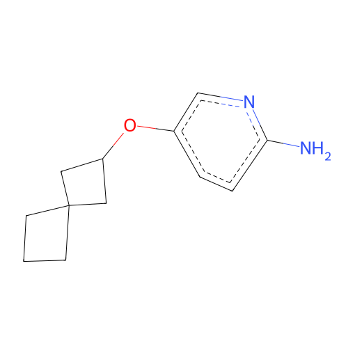 Nc1ccc(OC2CC3(CCC3)C2)cn1